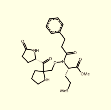 COC(=O)[C@H](CCSC)N(OCC1(C(=O)[C@@H]2CCC(=O)N2)CCCN1)C(=O)CCc1ccccc1